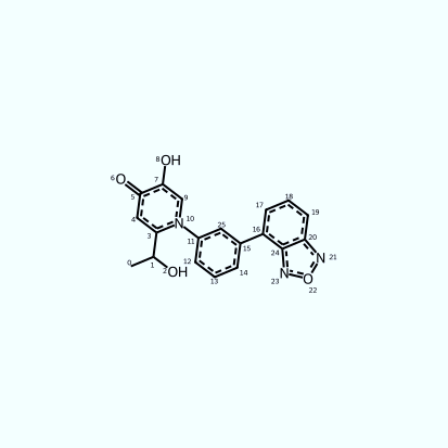 CC(O)c1cc(=O)c(O)cn1-c1cccc(-c2cccc3nonc23)c1